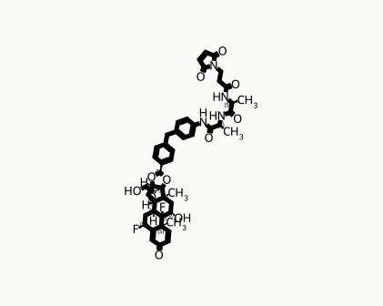 C[C@H](NC(=O)CCN1C(=O)C=CC1=O)C(=O)N[C@@H](C)C(=O)Nc1ccc(Cc2ccc([C@@H]3O[C@@H]4C[C@H]5[C@@H]6C[C@H](F)C7=CC(=O)C=C[C@]7(C)[C@@]6(F)[C@@H](O)C[C@]5(C)[C@]4(C(=O)CO)O3)cc2)cc1